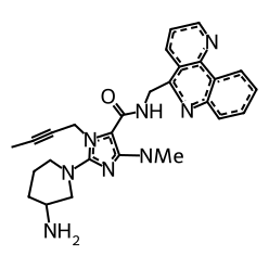 CC#CCn1c(N2CCCC(N)C2)nc(NC)c1C(=O)NCc1nc2ccccc2c2ncccc12